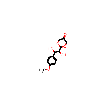 COc1ccc(C(O)C(O)C2OCC(=O)CO2)cc1